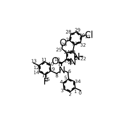 Cc1cccc(CN(Cc2ccc(C)cc2F)C(=O)c2nn(C)c3c2COc2ccc(Cl)cc2-3)c1